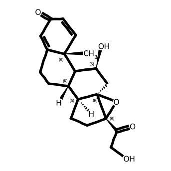 C[C@]12C=CC(=O)C=C1CC[C@@H]1C2[C@@H](O)C[C@]23O[C@]2(C(=O)CO)CC[C@@H]13